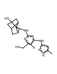 Cc1cc(Nc2nc(NC3C4CC5CC6(O)CC3C56C4)nc(CO)c2F)n[nH]1